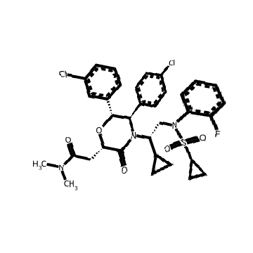 CN(C)C(=O)C[C@@H]1O[C@H](c2cccc(Cl)c2)[C@@H](c2ccc(Cl)cc2)N([C@H](CN(c2ccccc2F)S(=O)(=O)C2CC2)C2CC2)C1=O